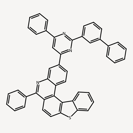 c1ccc(-c2cccc(-c3nc(-c4ccccc4)cc(-c4ccc5c(c4)nc(-c4ccccc4)c4ccc6sc7ccccc7c6c45)n3)c2)cc1